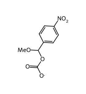 COC(OC([O])=O)c1ccc([N+](=O)[O-])cc1